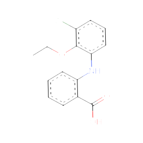 CCOc1c(Cl)cccc1Nc1ccccc1C(=O)O